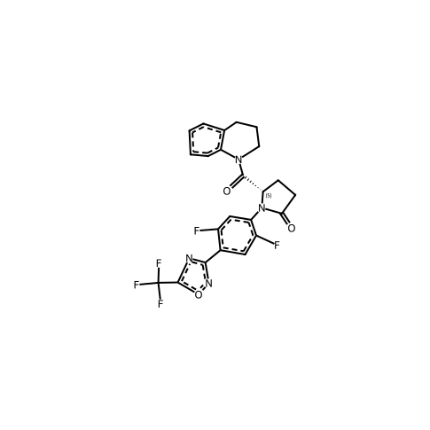 O=C([C@@H]1CCC(=O)N1c1cc(F)c(-c2noc(C(F)(F)F)n2)cc1F)N1CCCc2ccccc21